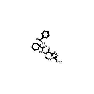 CSc1nnc(C(=O)[C@H](CC(C)C)NC(=O)C2(NC(=O)c3ccccc3)CCCCC2)o1